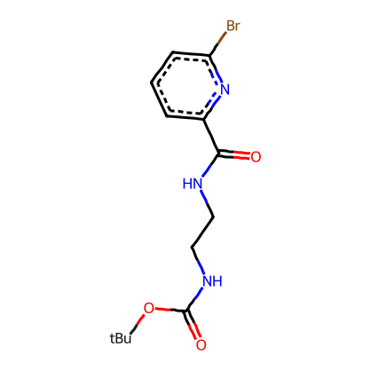 CC(C)(C)OC(=O)NCCNC(=O)c1cccc(Br)n1